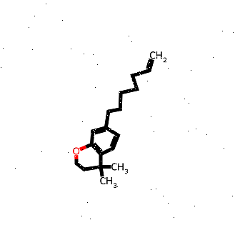 C=CCCCCCc1ccc2c(c1)OCCC2(C)C